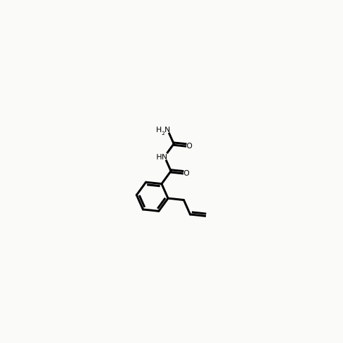 C=CCc1ccccc1C(=O)NC(N)=O